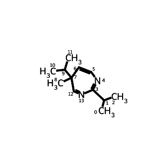 CC(C)C1=NC=CC(C)(C(C)C)C=N1